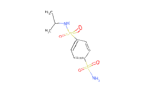 CC(C)NS(=O)(=O)c1ccc(S(N)(=O)=O)cc1